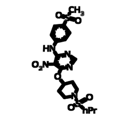 CCCS(=O)(=O)N1CCC(Oc2ncnc(Nc3ccc(S(C)(=O)=O)cc3)c2[N+](=O)[O-])CC1